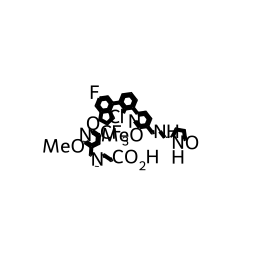 COc1nc(-c2cccc(-c3cc(F)cc4c3CC[C@@H]4Oc3nc(OC)c(CN(C)CCC(=O)O)cc3C(F)(F)F)c2Cl)ccc1CNC[C@@H]1CCC(=O)N1